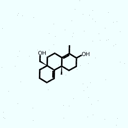 CC1=C2CC[C@@]3(CO)CCCC=C3[C@@]2(C)CCC1O